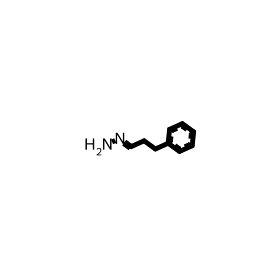 NN=CCCc1ccccc1